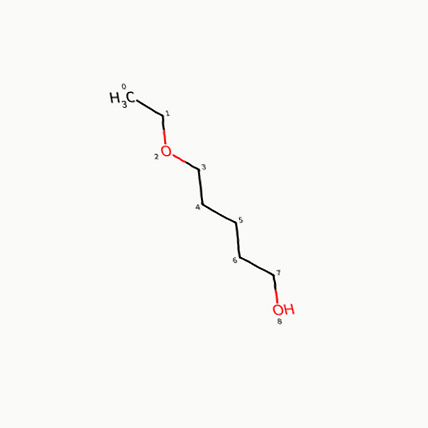 CCOCCCCCO